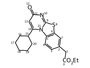 CCOC(=O)Cc1ccc2c(c1)sc1nc(=O)cc(C3CCCCC3)n12